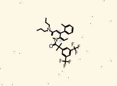 C=C(/C=C(\C(=C/C)N(C)C(=O)C(C)(C)c1cc(C(F)(F)F)cc(C(F)(F)F)c1)c1ccccc1C)N(CCC)CCC